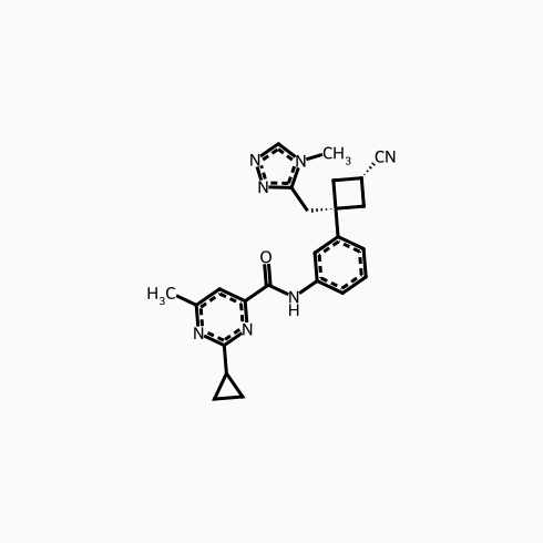 Cc1cc(C(=O)Nc2cccc([C@]3(Cc4nncn4C)C[C@@H](C#N)C3)c2)nc(C2CC2)n1